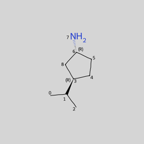 CC(C)[C@@H]1CC[C@@H](N)C1